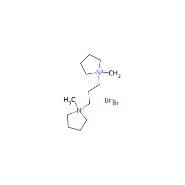 C[N+]1(CCC[N+]2(C)CCCC2)CCCC1.[Br-].[Br-]